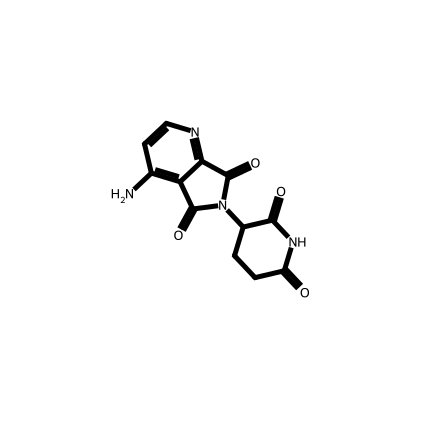 Nc1ccnc2c1C(=O)N(C1CCC(=O)NC1=O)C2=O